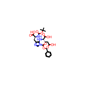 CC(C)(C)OC(=O)N[C@@H](Cc1ncn(C(=O)OCc2ccccc2)c1N[C@@H](CCC(=O)O)C(=O)O)C(=O)O